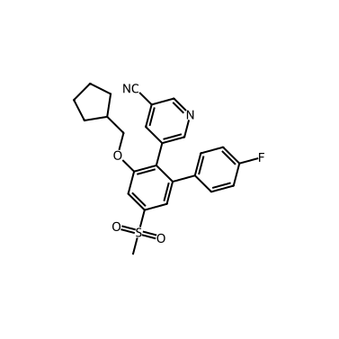 CS(=O)(=O)c1cc(OCC2CCCC2)c(-c2cncc(C#N)c2)c(-c2ccc(F)cc2)c1